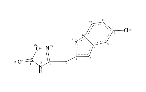 O=S1NC(Cc2cc3cc(Cl)ccc3s2)=NO1